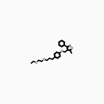 CCOCCOCCCc1ccc(OCc2c(-c3ccccc3)noc2C)cc1